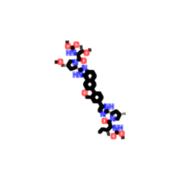 CC[C@H](C)[C@H](NC(=O)OC)C(=O)N1C[C@@H](C)C[C@H]1c1ncc(-c2ccc3c(c2)COc2cc4c(ccc5nc([C@@H]6C[C@H](COC)CN6C(=O)[C@@H](NC(=O)OC)[C@@H](C)OC)[nH]c54)cc2-3)[nH]1